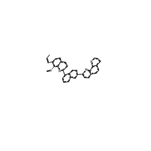 C=Nc1c(/C=C\C)ccc2ccc(-c3cccc4cc(-c5ccc6ccc7cccnc7c6n5)ccc34)nc12